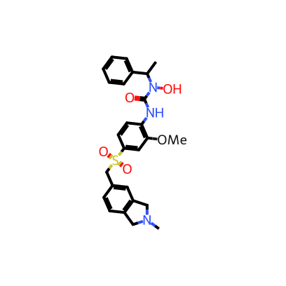 COc1cc(S(=O)(=O)Cc2ccc3c(c2)CN(C)C3)ccc1NC(=O)N(O)C(C)c1ccccc1